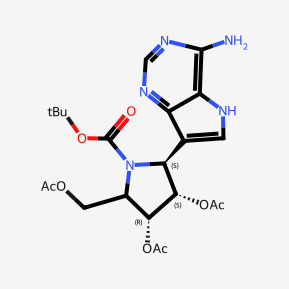 CC(=O)OCC1[C@@H](OC(C)=O)[C@@H](OC(C)=O)[C@H](c2c[nH]c3c(N)ncnc23)N1C(=O)OC(C)(C)C